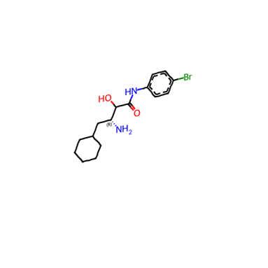 N[C@H](CC1CCCCC1)C(O)C(=O)Nc1ccc(Br)cc1